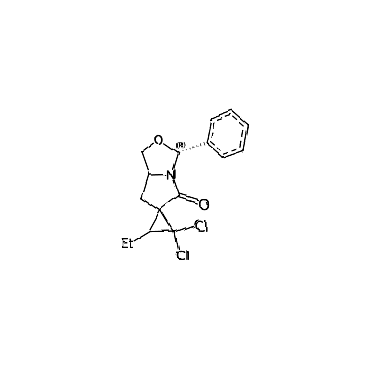 CCC1C(Cl)(Cl)C12CC1CO[C@H](c3ccccc3)N1C2=O